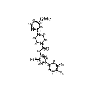 CCc1nc(-c2ccc(F)c(C)c2)nn1CC(=O)N1CCN(c2cc(OC)ccn2)CC1